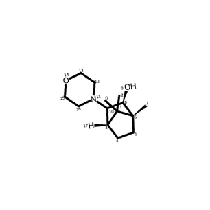 CC1(C)[C@@H]2CC[C@@]1(C)[C@H](O)C2N1CCOCC1